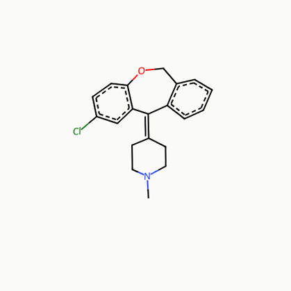 CN1CCC(=C2c3ccccc3COc3ccc(Cl)cc32)CC1